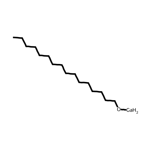 CCCCCCCCCCCCCCCC[O][GaH2]